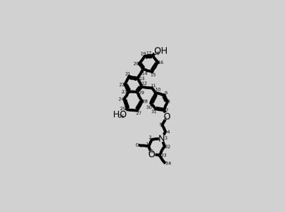 CC1CN(CCOc2ccc(Cc3c(-c4ccc(O)cc4)ccc4cc(O)ccc34)cc2)CC(C)O1